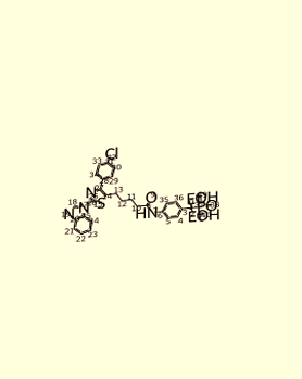 CCC(CC)(c1ccc(NC(=O)CCCCc2sc(-n3cnc4ccccc43)nc2-c2ccc(Cl)cc2)cc1)P(=O)(O)O